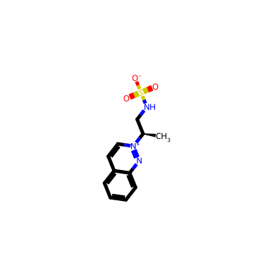 C[C@H](CNS(=O)(=O)[O-])[n+]1ccc2ccccc2n1